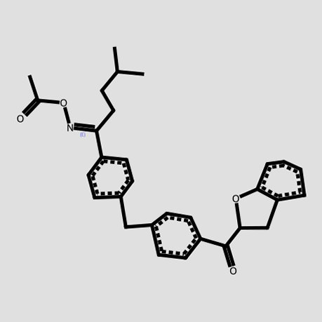 CC(=O)O/N=C(\CCC(C)C)c1ccc(Cc2ccc(C(=O)C3Cc4ccccc4O3)cc2)cc1